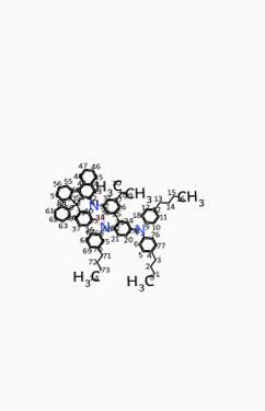 CCCCc1ccc(N(c2ccc(CCCC)cc2)c2ccc3c(c2)-c2cc(C(C)C)cc4c2B(c2cccc5c2N4c2cc4ccccc4cc2C5(c2ccccc2)c2ccccc2)N3c2cccc(CCCC)c2)cc1